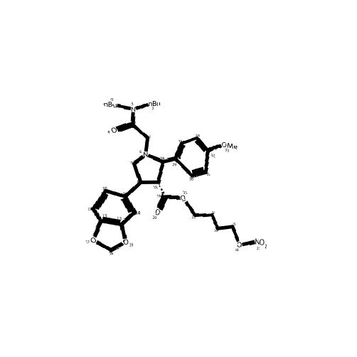 CCCCN(CCCC)C(=O)CN1CC(c2ccc3c(c2)OCO3)[C@@H](C(=O)OCCCCO[N+](=O)[O-])C1c1ccc(OC)cc1